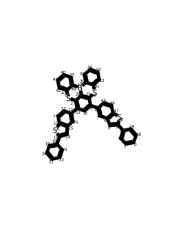 c1ccc(-c2cc3cc(-c4cc(-c5ccc6sc(-c7ccccc7)cc6c5)c5c6c4Sc4ccccc4B6c4ccccc4S5)ccc3s2)cc1